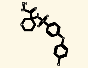 O=C(NO)C1(NS(=O)(=O)c2ccc(Oc3ccc(Cl)cc3)cc2)CCCOC1